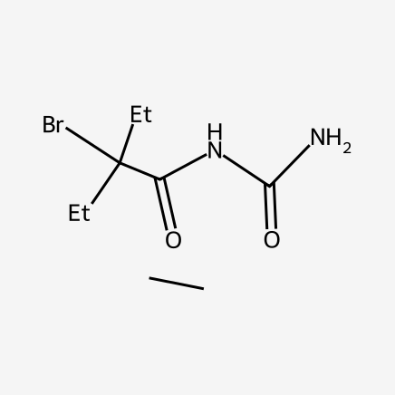 CC.CCC(Br)(CC)C(=O)NC(N)=O